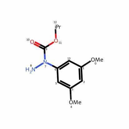 COc1cc(OC)cc(N(N)C(=O)OC(C)C)c1